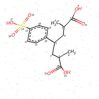 CC(CC(CC(C)C(=O)O)c1ccc(S(=O)(=O)O)cc1)C(=O)O